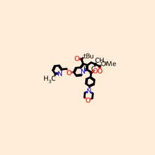 COC(=O)C(C)(C)Cc1c(C(=O)C(C)(C)C)c2cc(OCc3cccc(C)n3)ccn2c1C(=O)c1ccc(N2CCOCC2)cc1